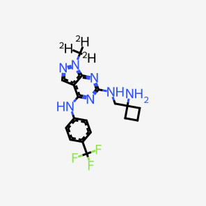 [2H]C([2H])([2H])n1ncc2c(Nc3ccc(C(F)(F)F)cc3)nc(NCC3(N)CCC3)nc21